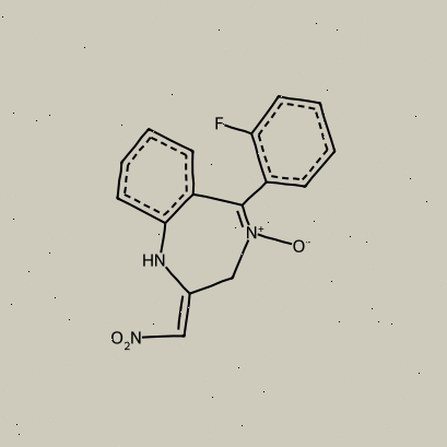 O=[N+]([O-])/C=C1/C[N+]([O-])=C(c2ccccc2F)c2ccccc2N1